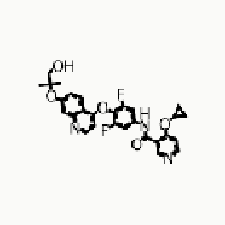 CC(C)(CO)Oc1ccc2c(Oc3c(F)cc(NC(=O)c4cnccc4OC4CC4)cc3F)ccnc2c1